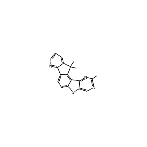 Cc1ncc2sc3ccc4c(c3c2n1)C(C)(C)c1cccnc1-4